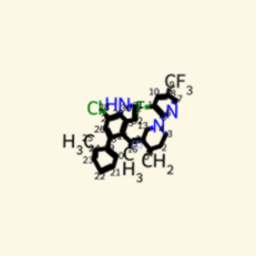 C=C1CCN(c2ncc(C(F)(F)F)cc2F)C/C1=C(/C)c1c(-c2ccccc2C)cc(Cl)c2[nH]ccc12